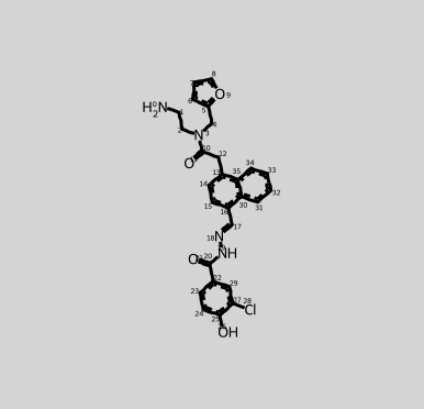 NCCN(Cc1ccco1)C(=O)Cc1ccc(/C=N/NC(=O)c2ccc(O)c(Cl)c2)c2ccccc12